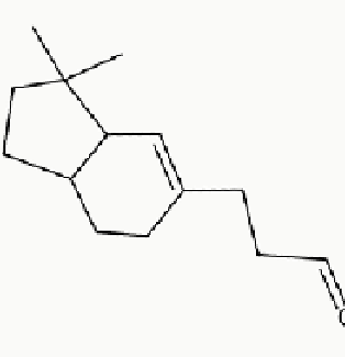 CC1(C)CCC2CCC(CCC=O)=CC21